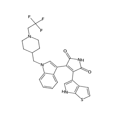 O=C1NC(=O)C(c2cn(CC3CCN(CC(F)(F)F)CC3)c3ccccc23)=C1c1c[nH]c2sccc12